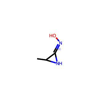 CC1N/C1=N/O